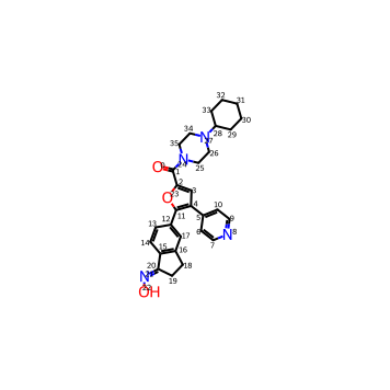 O=C(c1cc(-c2ccncc2)c(-c2ccc3c(c2)CCC3=NO)o1)N1CCN(C2CCCCC2)CC1